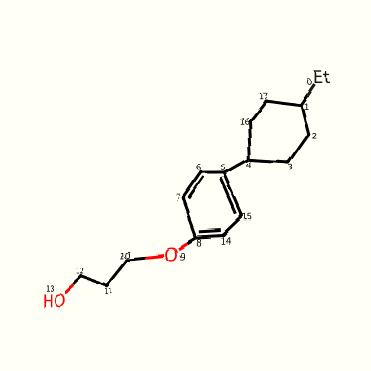 CCC1CCC(c2ccc(OCCCO)cc2)CC1